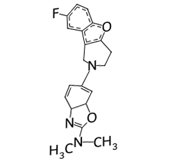 CN(C)C1=NC2C=CC(N3CCc4oc5ccc(F)cc5c4C3)=CC2O1